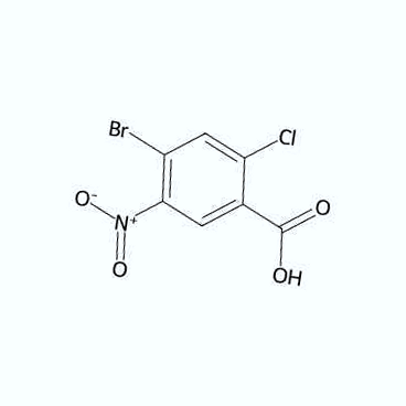 O=C(O)c1cc([N+](=O)[O-])c(Br)cc1Cl